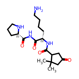 CC1(C)CC(=O)CC1C(=O)N[C@@H](CCCCN)C(=O)NC(=O)[C@@H]1CCCN1